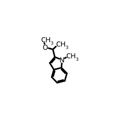 COC(C)c1cc2ccccc2n1C